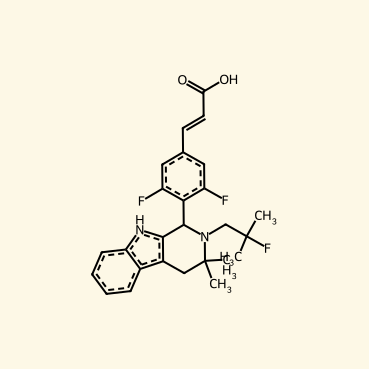 CC(C)(F)CN1C(c2c(F)cc(C=CC(=O)O)cc2F)c2[nH]c3ccccc3c2CC1(C)C